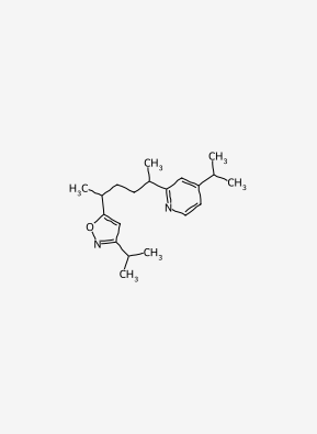 CC(C)c1ccnc(C(C)CCC(C)c2cc(C(C)C)no2)c1